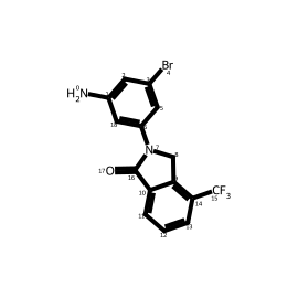 Nc1cc(Br)cc(N2Cc3c(cccc3C(F)(F)F)C2=O)c1